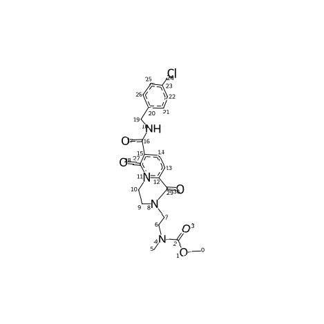 COC(=O)N(C)CCN1CCn2c(ccc(C(=O)NCc3ccc(Cl)cc3)c2=O)C1=O